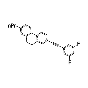 CCCc1ccc2c(c1)CCc1cc(C#Cc3cc(F)cc(F)c3)ccc1-2